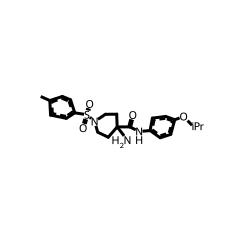 Cc1ccc(S(=O)(=O)N2CCC(N)(C(=O)Nc3ccc(OC(C)C)cc3)CC2)cc1